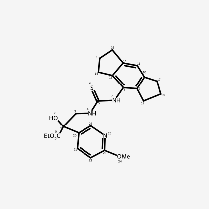 CCOC(=O)C(O)(CNC(=S)Nc1c2c(cc3c1CCC3)CCC2)c1ccc(OC)nc1